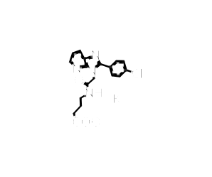 O=C([O-])CCCNC(=O)Cn1c(-c2ccc(Cl)cc2)nc2cccnc21.[K+]